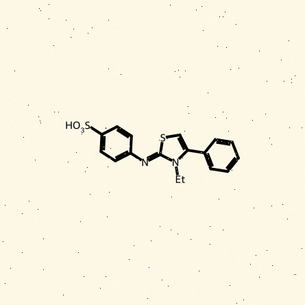 CCn1c(-c2ccccc2)csc1=Nc1ccc(S(=O)(=O)O)cc1